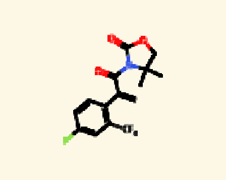 C=C(C(=O)N1C(=O)OCC1(C)C)c1ccc(F)cc1C(F)(F)F